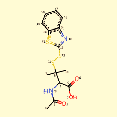 CC(=O)NC(C(=O)O)C(C)(C)SSc1nc2ccccc2s1